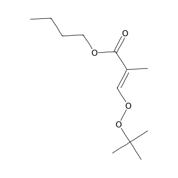 CCCCOC(=O)C(C)=COOC(C)(C)C